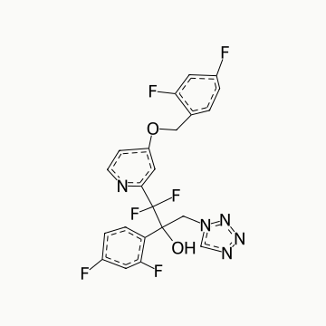 OC(Cn1cnnn1)(c1ccc(F)cc1F)C(F)(F)c1cc(OCc2ccc(F)cc2F)ccn1